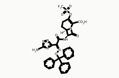 Nc1nc(C(=NOC(c2ccccc2)(c2ccccc2)c2ccccc2)C(=O)N[C@@H]2C(=O)N3C(C(=O)O)=C(OS(=O)(=O)C(F)(F)F)CC[C@H]23)ns1